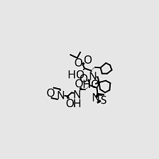 CC(C)OC(=O)[C@H](O)[C@H](CC1CCCCC1)N(CC1(O)CCCCC1)C(=O)[C@@H](CC(=O)NCC(=O)N1CCOCC1)Cc1cscn1